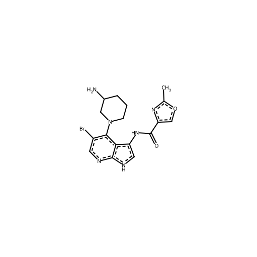 Cc1nc(C(=O)Nc2c[nH]c3ncc(Br)c(N4CCCC(N)C4)c23)co1